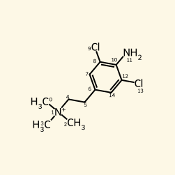 C[N+](C)(C)CCc1cc(Cl)c(N)c(Cl)c1